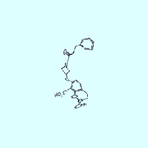 O=C(O)c1c(OC2CN(C(=O)CCc3ccccc3)C2)ccc2c1OB(O)CC2